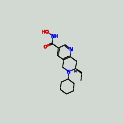 CC[C@@H]1Cc2ncc(C(=O)NO)cc2CN1C1CCCCC1